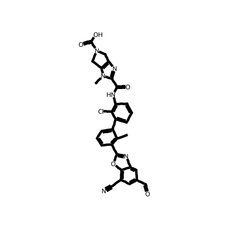 Cc1c(-c2nc3cc(C=O)cc(C#N)c3o2)cccc1-c1cccc(NC(=O)c2nc3c(n2C)CN(C(=O)O)C3)c1Cl